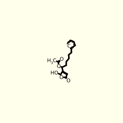 CC(=O)OC(CCCCCc1ccccc1)C1=CC(=O)OC1O